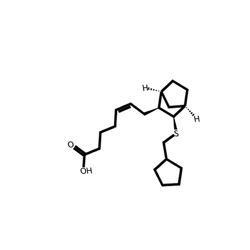 O=C(O)CCC/C=C\C[C@H]1[C@H]2CC[C@H](C2)[C@H]1SCC1CCCC1